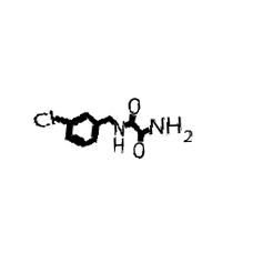 NC(=O)C(=O)NCc1cccc(Cl)c1